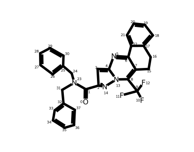 O=C(c1cc2nc3c(c(C(F)(F)F)n2n1)CCc1ccccc1-3)N(Cc1ccccc1)Cc1ccccc1